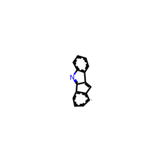 [c]1cccc2c1C=C1C2=Nc2ccccc21